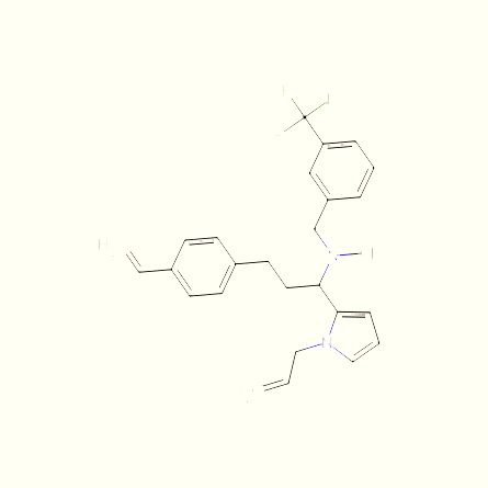 C=CCn1cccc1C(CCc1ccc(C=C)cc1)N(C)Cc1cccc(C(F)(F)F)c1